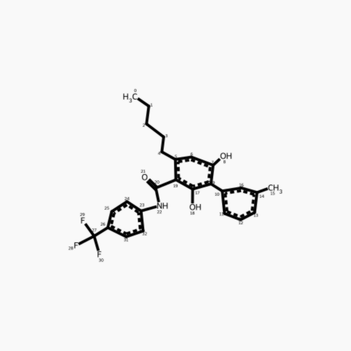 CCCCCc1cc(O)c(-c2cccc(C)c2)c(O)c1C(=O)Nc1ccc(C(F)(F)F)cc1